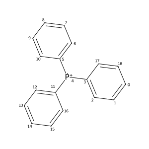 c1ccc([P+](c2ccccc2)c2ccccc2)cc1